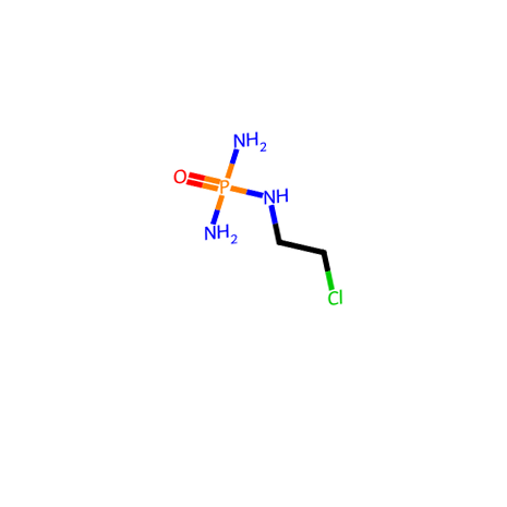 NP(N)(=O)NCCCl